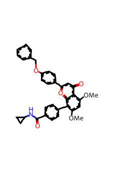 COc1cc(OC)c2c(=O)cc(-c3ccc(OCc4ccccc4)cc3)oc2c1-c1ccc(C(=O)NC2CC2)cc1